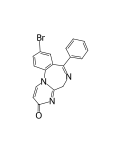 O=c1ccn2c(n1)CN=C(c1ccccc1)c1cc(Br)ccc1-2